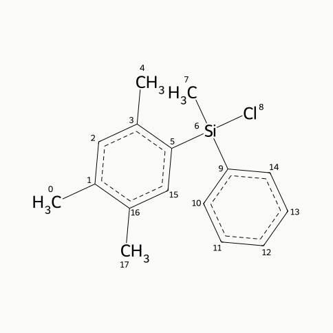 Cc1cc(C)c([Si](C)(Cl)c2ccccc2)cc1C